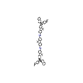 CC1(C)c2cc(/C=C/c3ccc4c(c3)C(C)(C)c3cc(N(c5ccc(F)cc5)c5ccc6ccccc6c5)ccc3-4)ccc2-c2ccc(/C=C/c3ccc4c(c3)C(C)(C)c3cc(N(c5ccc(F)cc5)c5ccc6ccccc6c5)ccc3-4)cc21